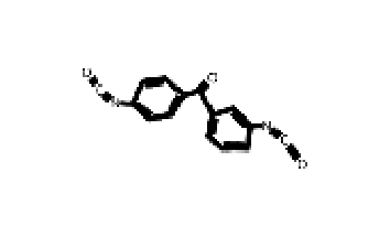 O=C=Nc1ccc(C(=O)c2cccc(N=C=O)c2)cc1